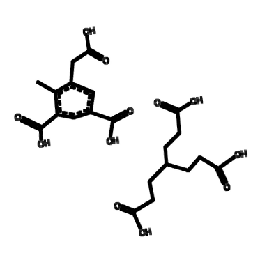 Cc1c(CC(=O)O)cc(C(=O)O)cc1C(=O)O.O=C(O)CCC(CCC(=O)O)CCC(=O)O